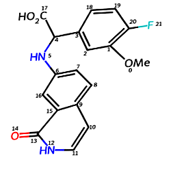 COc1cc(C(Nc2ccc3cc[nH]c(=O)c3c2)C(=O)O)ccc1F